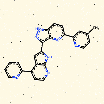 Cc1ccnc(-c2ccc3[nH]nc(-c4cc5c(-c6ccccn6)ccnc5[nH]4)c3n2)c1